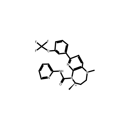 C[C@@H]1CCN(C)c2ccc(-c3cccc(OC(F)(F)F)c3)nc2N1C(=O)Nc1ccccn1